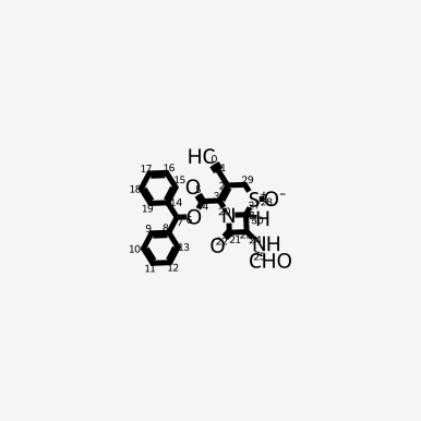 C#CC1=C(C(=O)OC(c2ccccc2)c2ccccc2)N2C(=O)C(NC=O)[C@H]2[S+]([O-])C1